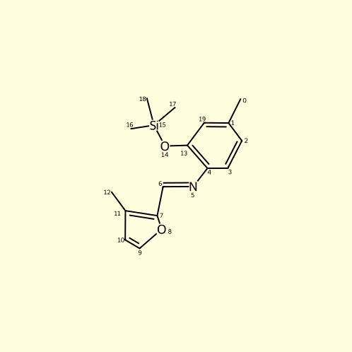 Cc1ccc(N=Cc2occc2C)c(O[Si](C)(C)C)c1